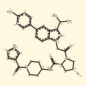 Cc1ncc(-c2ccc3c(c2)c(C(C)O)nn3CC(=O)N2C[C@H](F)C[C@H]2C(=O)NC2CCN(C(=O)c3cn[nH]c3)CC2)cn1